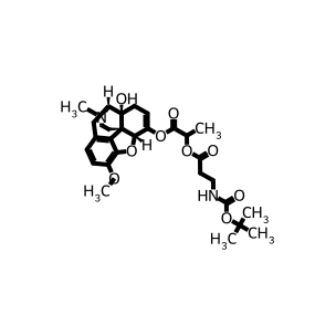 COc1ccc2c3c1O[C@H]1C(OC(=O)C(C)OC(=O)CCNC(=O)OC(C)(C)C)=CC[C@@]4(O)[C@@H](C2)N(C)CC[C@]314